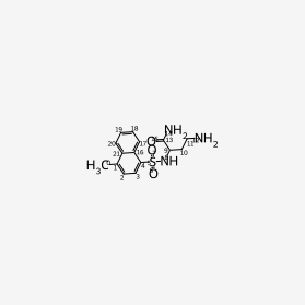 Cc1ccc(S(=O)(=O)NC(CCN)C(N)=O)c2ccccc12